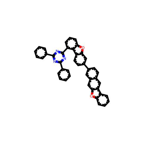 c1ccc(-c2nc(-c3ccccc3)nc(-c3cccc4oc5cc(-c6ccc7cc8c(cc7c6)oc6ccccc68)ccc5c34)n2)cc1